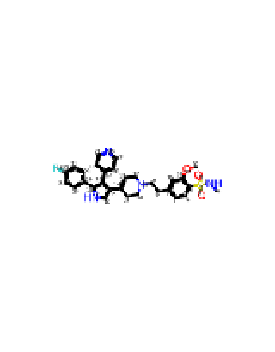 CNS(=O)(=O)c1ccc(CCN2CC=C(c3c[nH]c(-c4ccc(F)cc4)c3-c3ccncc3)CC2)cc1OC